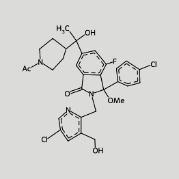 COC1(c2ccc(Cl)cc2)c2c(F)cc(C(C)(O)C3CCN(C(C)=O)CC3)cc2C(=O)N1Cc1ncc(Cl)cc1CO